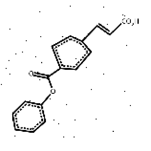 O=C(O)C=Cc1ccc(C(=O)Oc2ccccc2)cc1